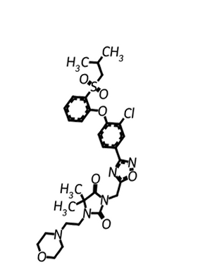 CC(C)CS(=O)(=O)c1ccccc1Oc1ccc(-c2noc(CN3C(=O)N(CCN4CCOCC4)C(C)(C)C3=O)n2)cc1Cl